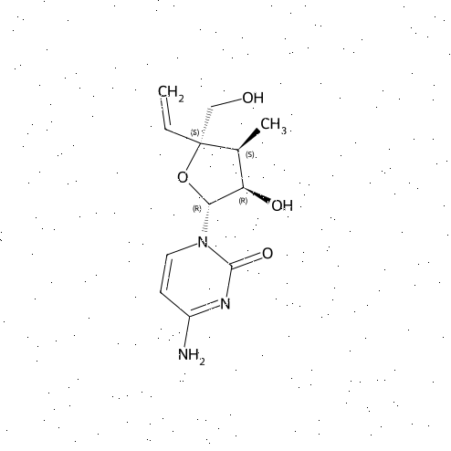 C=C[C@]1(CO)O[C@@H](n2ccc(N)nc2=O)[C@H](O)[C@@H]1C